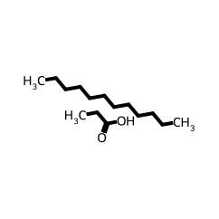 CCC(=O)O.CCCCCCCCCCCC